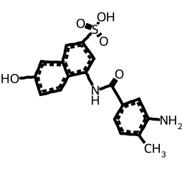 Cc1ccc(C(=O)Nc2cc(S(=O)(=O)O)cc3cc(O)ccc23)cc1N